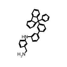 NCc1cccc(Nc2cccc(-c3cccc(C4(c5ccccc5)c5ccccc5-c5ccccc54)c3)c2)c1